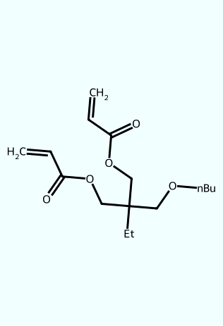 C=CC(=O)OCC(CC)(COCCCC)COC(=O)C=C